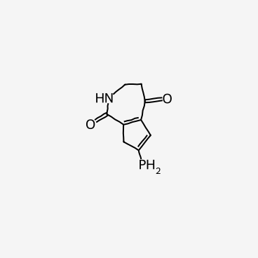 O=C1CCNC(=O)C2=C1C=C(P)C2